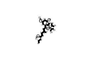 CCC[C@H](/C=C/C(C)=C/[C@@H](O[Si](C(C)C)(C(C)C)C(C)C)[C@H]1C[C@@H](OC)CC(=O)O1)OC